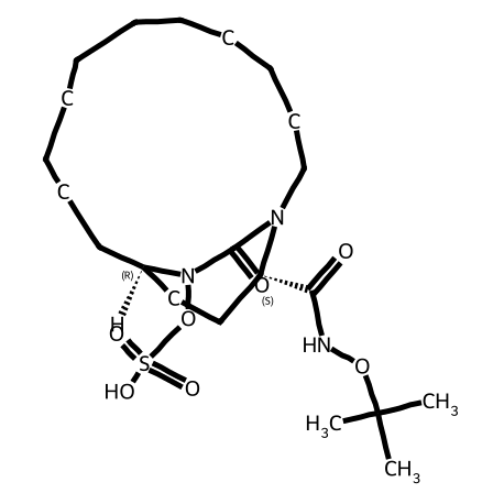 CC(C)(C)ONC(=O)[C@@H]1CC[C@H]2CCCCCCCCCCCN1C(=O)N2OS(=O)(=O)O